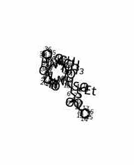 CCOC(=S)SC(CCC(=O)OCc1ccccc1)CC[C@@H]1NC(=O)[C@H]2CCCN2C(=O)[C@H](Cc2ccccc2)NC(=O)C(C)(C)NC1=O